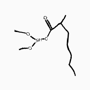 CCCCCC(C)C(=O)O[SiH](OC)OC